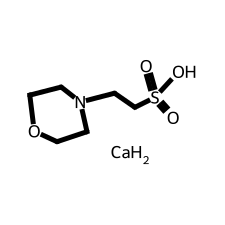 O=S(=O)(O)CCN1CCOCC1.[CaH2]